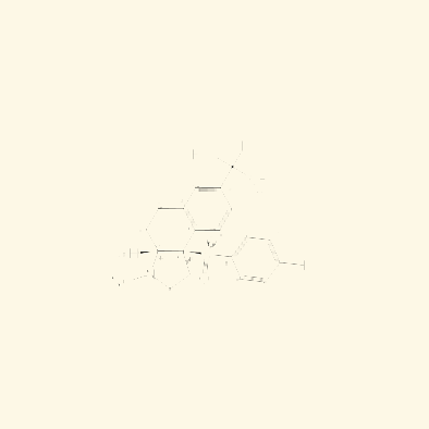 N#CN1CC[C@@]2(S(=O)(=O)c3ccc(I)cc3)c3ccc(C(F)(C(F)(F)F)C(F)(F)F)cc3CC[C@@H]12